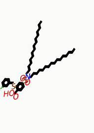 CCCCCCCCCCCCCCCCN(CCCCCCCCCCCCCCCC)S(=O)(=O)c1ccc(C(=O)O)c(SCc2cccc(Br)c2)c1